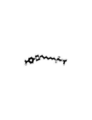 CC(=O)c1ccc(N2CCN(CCCCCCCNC(=O)COC(C)C)CC2)cc1